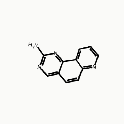 Nc1ncc2ccc3ncccc3c2n1